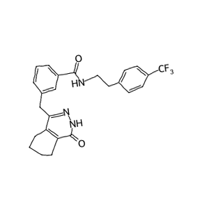 O=C(NCCc1ccc(C(F)(F)F)cc1)c1cccc(Cc2n[nH]c(=O)c3c2CCCC3)c1